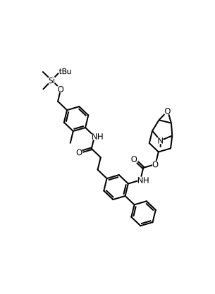 Cc1cc(CO[Si](C)(C)C(C)(C)C)ccc1NC(=O)CCc1ccc(-c2ccccc2)c(NC(=O)OC2CC3C4OC4C(C2)N3C)c1